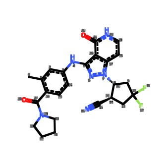 Cc1cc(Nc2nn([C@@H]3CC(F)(F)C[C@H]3C#N)c3cc[nH]c(=O)c23)ccc1C(=O)N1CCCC1